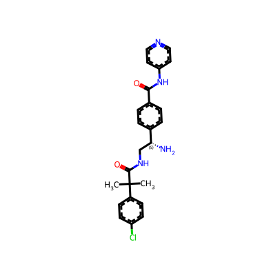 CC(C)(C(=O)NC[C@@H](N)c1ccc(C(=O)Nc2ccncc2)cc1)c1ccc(Cl)cc1